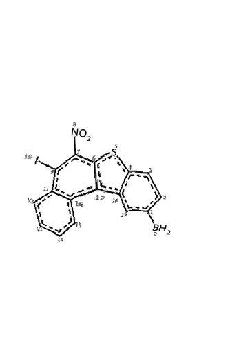 Bc1ccc2sc3c([N+](=O)[O-])c(I)c4ccccc4c3c2c1